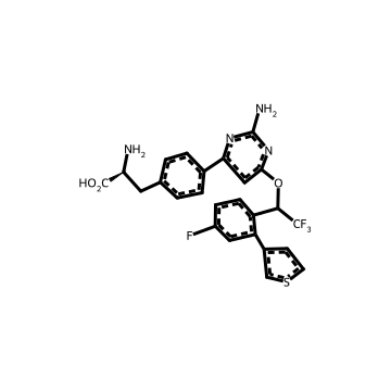 Nc1nc(OC(c2ccc(F)cc2-c2ccsc2)C(F)(F)F)cc(-c2ccc(C[C@H](N)C(=O)O)cc2)n1